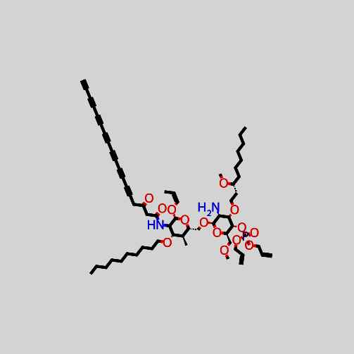 C#CC#CC#CC#CC#CC#CC#CCC(=O)CC(=O)NC1[C@@H](O/C=C\C)O[C@H](CO[C@@H]2O[C@H](COC)[C@@H](OP(=O)(OCC=C)OCC=C)[C@H](OCC[C@@H](CCCCCCC)OC)[C@H]2N)[C@@H](C)[C@@H]1OCCCCCCCCCC